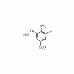 Cl.Nc1c(F)cc(C(=O)O)cc1Cl